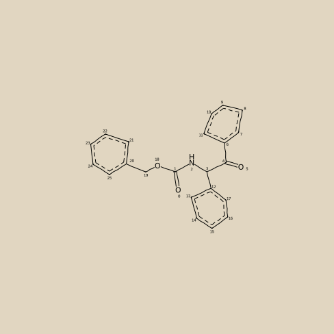 O=C(NC(C(=O)c1ccccc1)c1ccccc1)OCc1ccccc1